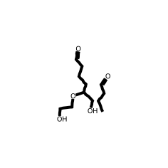 CCCC=O.O=CCCCC(CO)OCCO